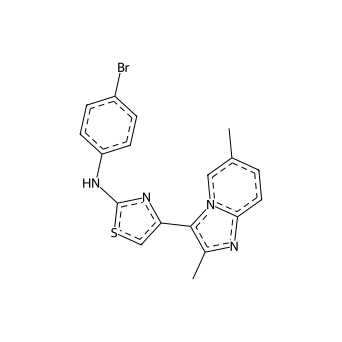 Cc1ccc2nc(C)c(-c3csc(Nc4ccc(Br)cc4)n3)n2c1